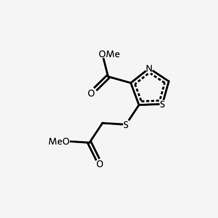 COC(=O)CSc1scnc1C(=O)OC